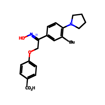 CC(C)(C)c1cc(/C(COc2ccc(C(=O)O)cc2)=N/O)ccc1N1CCCC1